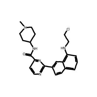 CN1CCC(NC(=O)c2ccnc(-c3ccc4cccc(NCCCl)c4c3)n2)CC1